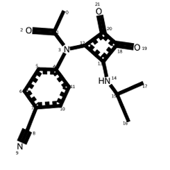 CC(=O)N(c1ccc(C#N)cc1)c1c(NC(C)C)c(=O)c1=O